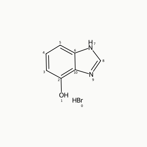 Br.Oc1cccc2[nH]cnc12